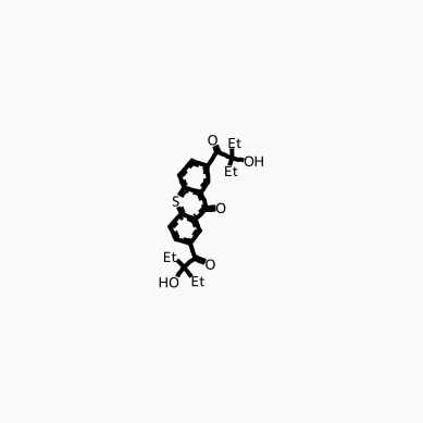 CCC(O)(CC)C(=O)c1ccc2sc3ccc(C(=O)C(O)(CC)CC)cc3c(=O)c2c1